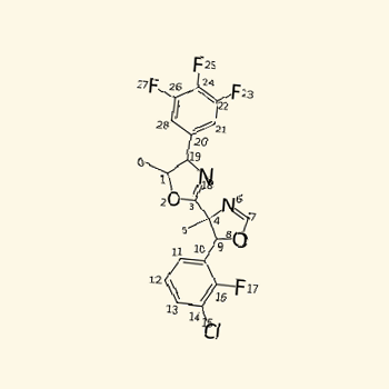 CC1OC(C2(C)N=[C]OC2c2cccc(Cl)c2F)=NC1c1cc(F)c(F)c(F)c1